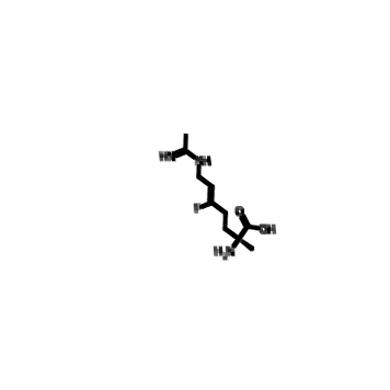 CC(=N)NC/C=C(\F)CC[C@@](C)(N)C(=O)O